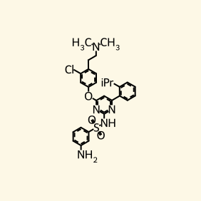 CC(C)c1ccccc1-c1cc(Oc2ccc(CCN(C)C)c(Cl)c2)nc(NS(=O)(=O)c2cccc(N)c2)n1